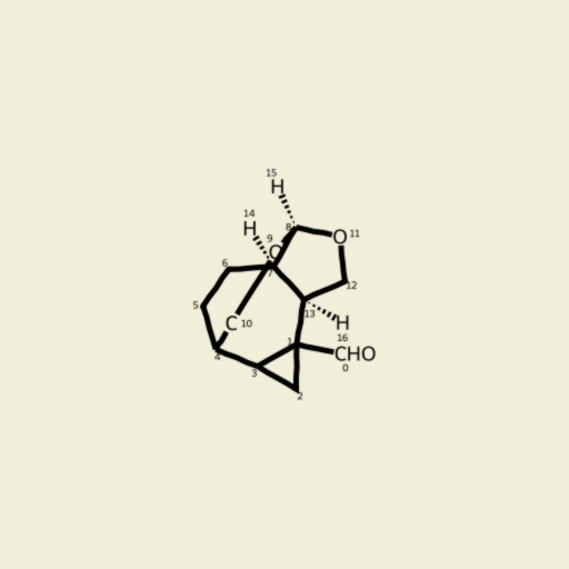 O=CC12CC1C1CC[C@H]3[C@@H](OC1)OC[C@H]32